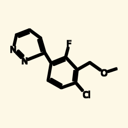 COCc1c(Cl)ccc(-c2cccnn2)c1F